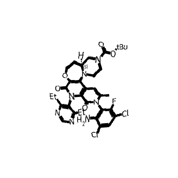 CCc1ncnc(CC)c1-n1c(=O)c2c(c3cc(C)n(-c4c(N)c(Cl)cc(Cl)c4F)c(=O)c31)N1CCN(C(=O)OC(C)(C)C)C[C@@H]1CCO2